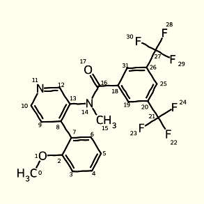 COc1ccccc1-c1ccncc1N(C)C(=O)c1cc(C(F)(F)F)cc(C(F)(F)F)c1